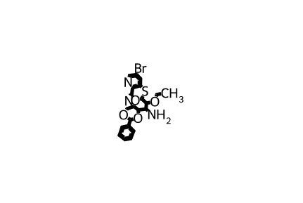 CCOC1C(Sc2cc(Br)cnc2C#N)OC2COC(c3ccccc3)OC2C1N